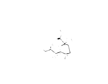 COC(=O)[C@]1(O)C[C@H](O)[C@@H](C)[C@H]([C@H](O)[C@H](O)CO)O1